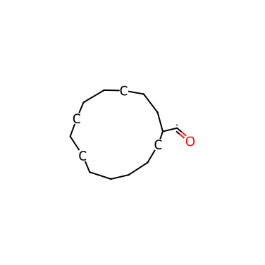 O=[C]C1CCCCCCCCCCCCC1